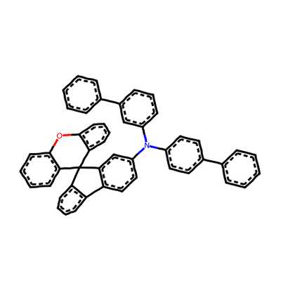 c1ccc(-c2ccc(N(c3cccc(-c4ccccc4)c3)c3ccc4c(c3)C3(c5ccccc5Oc5ccccc53)c3ccccc3-4)cc2)cc1